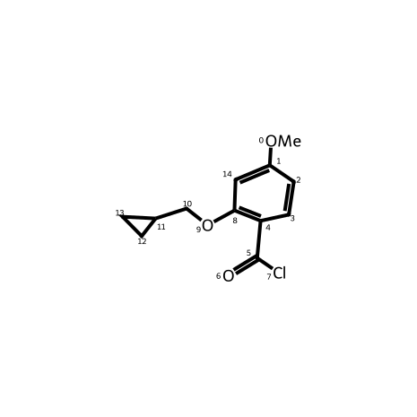 COc1ccc(C(=O)Cl)c(OCC2CC2)c1